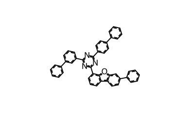 c1ccc(-c2ccc(-c3nc(-c4cccc(-c5ccccc5)c4)nc(-c4cccc5c4oc4cc(-c6ccccc6)ccc45)n3)cc2)cc1